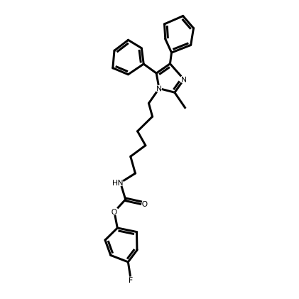 Cc1nc(-c2ccccc2)c(-c2ccccc2)n1CCCCCCNC(=O)Oc1ccc(F)cc1